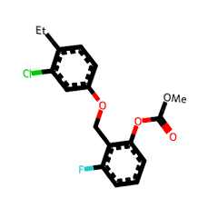 CCc1ccc(OCc2c(F)cccc2OC(=O)OC)cc1Cl